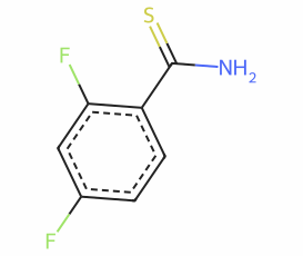 NC(=S)c1ccc(F)cc1F